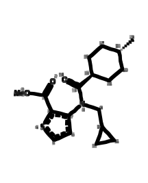 COC(=O)c1sccc1N(CC1CC1)C(=O)[C@H]1CC[C@H](C)CC1